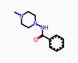 CN1CCN(NC(=O)c2ccccc2)CC1